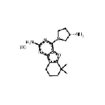 CC1(C)CCCc2c1oc1c(N3CC[C@H](N)C3)nc(N)nc21.Cl